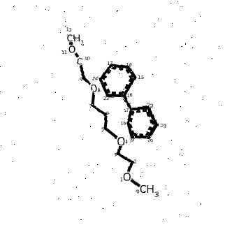 COCCOCCCOCCOC.c1ccc(-c2ccccc2)cc1